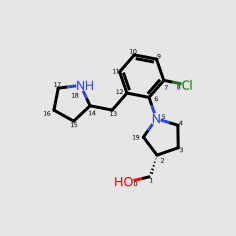 OC[C@H]1CCN(c2c(Cl)cccc2CC2CCCN2)C1